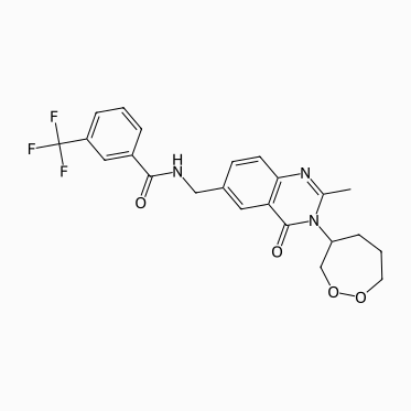 Cc1nc2ccc(CNC(=O)c3cccc(C(F)(F)F)c3)cc2c(=O)n1C1CCCOOC1